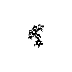 CON(C)C(=O)CO[C@@H]1[C@@H](n2cc(-c3cc(F)c(F)c(F)c3)nn2)[C@H]2OC(C)(C)OC[C@H]2O[C@@]12CCCO2